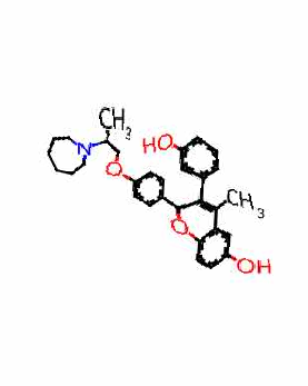 CC1=C(c2cccc(O)c2)C(c2ccc(OC[C@H](C)N3CCCCCC3)cc2)Oc2ccc(O)cc21